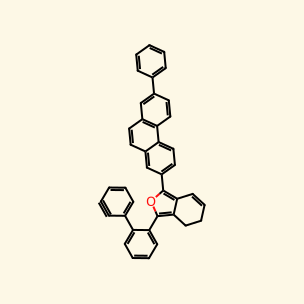 c1cccc(-c2ccccc2-c2oc(-c3ccc4c(ccc5cc(-c6ccccc6)ccc54)c3)c3c2CCC=C3)c#1